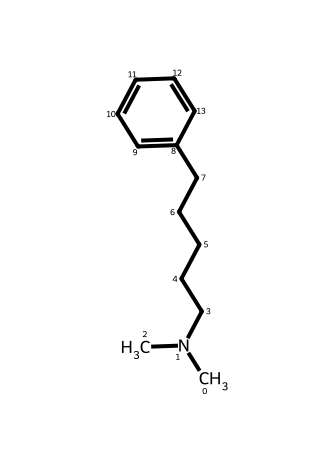 CN(C)CCCCCc1ccccc1